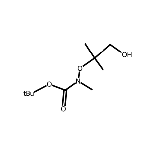 CN(OC(C)(C)CO)C(=O)OC(C)(C)C